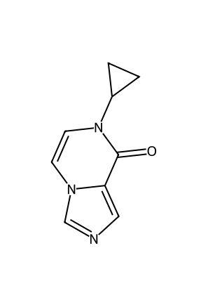 O=c1c2cncn2ccn1C1CC1